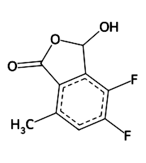 Cc1cc(F)c(F)c2c1C(=O)OC2O